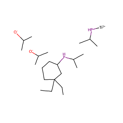 CC(C)[O-].CC(C)[O-].CC(C)[PH][Ti+2].CCC1(CC)CCCC(PC(C)C)C1